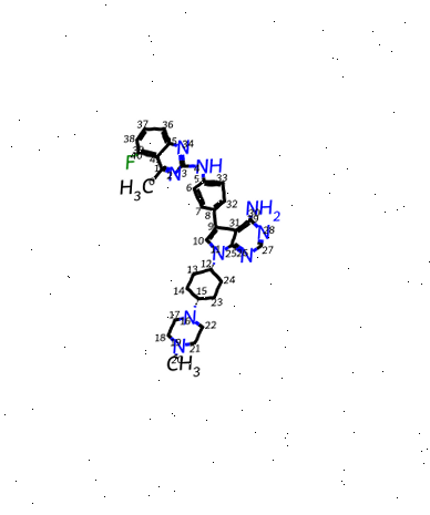 Cc1nc(Nc2ccc(-c3cn([C@H]4CC[C@@H](N5CCN(C)CC5)CC4)c4ncnc(N)c34)cc2)nc2cccc(F)c12